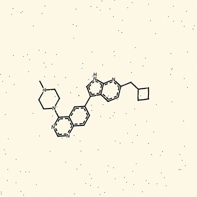 CN1CCN(c2ncnc3ccc(-c4c[nH]c5nc(CC6CCC6)ccc45)cc23)CC1